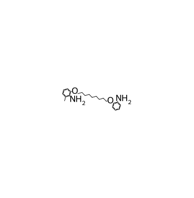 Cc1cccc(OCCCCCCCCCOc2ccccc2N)c1N